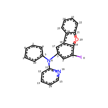 Ic1cc(N(c2ccccc2)c2ccccn2)cc2c1oc1ccccc12